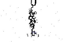 C/C=C\C(=C/C)CCc1cc2c(cc3c4ccc5c6c(sc(c(=O)n23)c46)c(=O)n2c3cc(CCC4=CCC=CC=C4)sc3cc52)s1